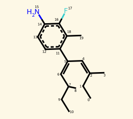 CC/C(C)=C\C(=C/C(C)CC)c1ccc(N)c(F)c1C